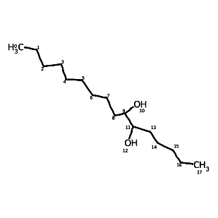 CCCCCCCCCC(O)C(O)CCCCC